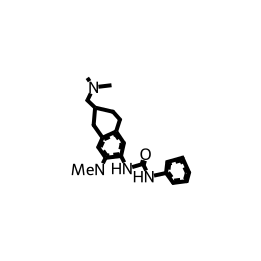 CNc1cc2c(cc1NC(=O)Nc1ccccc1)CCC(CN(C)C)C2